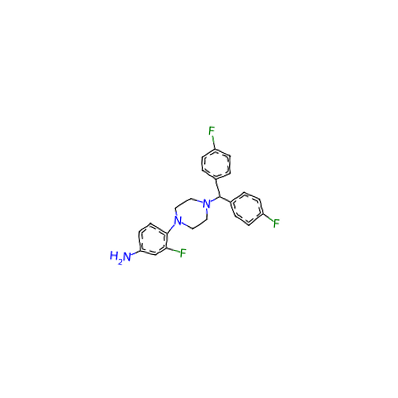 Nc1ccc(N2CCN(C(c3ccc(F)cc3)c3ccc(F)cc3)CC2)c(F)c1